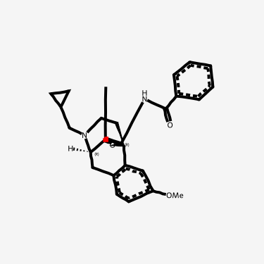 COc1ccc2c(c1)[C@]13CCN(CC4CC4)[C@H](C2)C1OC(C)=C(NC(=O)c1ccccc1)C3